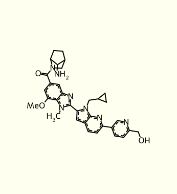 COc1cc(C(=O)N2CC3CCC2C3N)cc2nc(-c3cc4ccc(-c5ccc(CO)nc5)nc4n3CC3CC3)n(C)c12